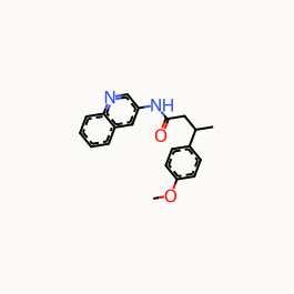 COc1ccc(C(C)CC(=O)Nc2cnc3ccccc3c2)cc1